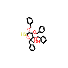 OC[C@@]1(Cc2ccccc2)O[C@@H](S)[C@H](OCc2ccccc2)[C@@H](OCc2ccccc2)[C@@H]1OCc1ccccc1